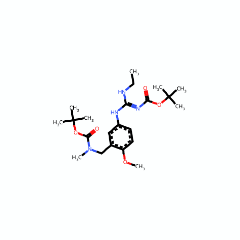 CCNC(=NC(=O)OC(C)(C)C)Nc1ccc(OC)c(CN(C)C(=O)OC(C)(C)C)c1